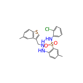 Cc1ccc(NNCc2csc3ccc(C)cc23)c(S(=O)(=O)Nc2ccccc2Cl)c1